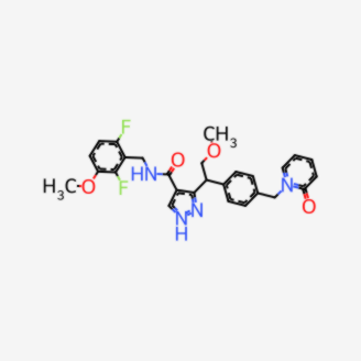 COCC(c1ccc(Cn2ccccc2=O)cc1)c1n[nH]cc1C(=O)NCc1c(F)ccc(OC)c1F